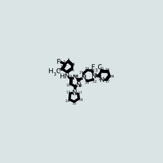 Cc1c(F)cccc1Nc1cc(N2CCCCC2)nc(N2CCCN(c3ncccc3C(F)(F)F)CC2)n1